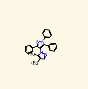 CC(C)(C)c1cnn(-c2c(-c3ccccc3)nn(-c3ccccc3)c2-c2ccccc2)c1C(C)(C)C